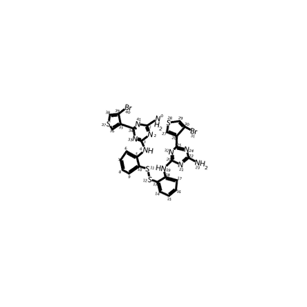 Nc1nc(Nc2ccccc2SSc2ccccc2Nc2nc(N)nc(-c3cscc3Br)n2)nc(-c2cscc2Br)n1